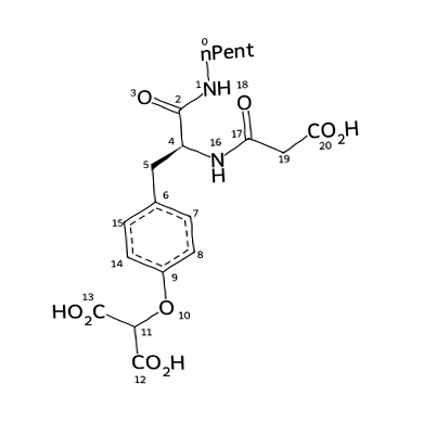 CCCCCNC(=O)[C@H](Cc1ccc(OC(C(=O)O)C(=O)O)cc1)NC(=O)CC(=O)O